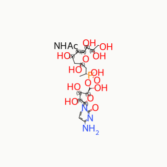 CC(=O)N[C@H]1[C@H]([C@H](O)[C@H](O)CO)O[C@](O)(CC(C)P(=O)(O)OC(O)[C@H]2O[C@@H](n3ccc(N)nc3=O)[C@H](O)[C@@H]2O)C[C@@H]1O